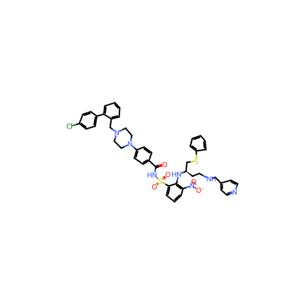 O=C(NS(=O)(=O)c1cccc([N+](=O)[O-])c1N[C@H](CCNCc1ccncc1)CSc1ccccc1)c1ccc(N2CCN(Cc3ccccc3-c3ccc(Cl)cc3)CC2)cc1